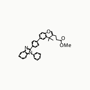 COC(=O)CCC1=COc2ccc(-c3ccc(-c4nc5ccccc5n4-c4ccccc4)cc3)cc2C1(C)C